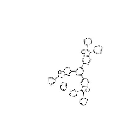 c1ccc(-c2oc3cc(-c4cc(-c5ccc6c(c5)C(c5ccccc5)C(c5ccccc5)O6)cc(-c5ccc6oc(-c7ccccc7)c(-c7ccccc7)c6c5)c4)ccc3c2-c2ccccc2)cc1